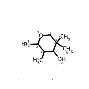 CC1C(C(C)(C)C)OCC(C)(C)C1O